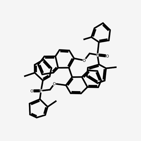 Cc1ccccc1P(=O)(COc1ccc2ccccc2c1-c1c(OCP(=O)(c2ccccc2C)c2ccccc2C)ccc2ccccc12)c1ccccc1C